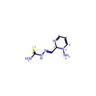 NC(=S)NN=CC1N=CC=CN1N